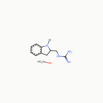 CCN1c2ccccc2CC1CNC(=N)N.O=S(=O)(O)O